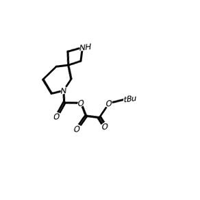 CC(C)(C)OC(=O)C(=O)OC(=O)N1CCCC2(CNC2)C1